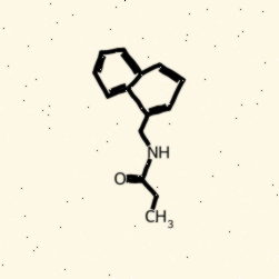 CCC(=O)NCc1cccc2ccccc12